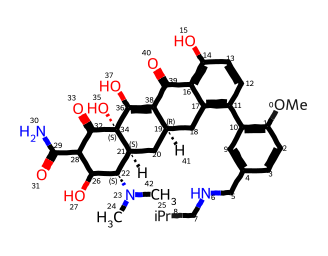 COc1ccc(CNCC(C)C)cc1-c1ccc(O)c2c1C[C@H]1C[C@H]3[C@H](N(C)C)C(O)C(C(N)=O)C(=O)[C@@]3(O)C(O)=C1C2=O